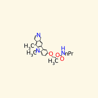 CCCNC(=O)O[C@@H](C)COc1ccc2c(c1)c1cc3cnccc3c(C)c1n2C